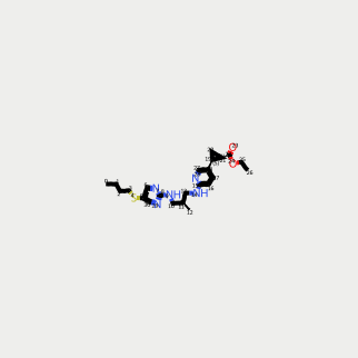 CCCCSc1cnc(NC[C@H](C)CNc2ccc([C@H]3C[C@@H]3C(=O)OCC)cn2)nc1